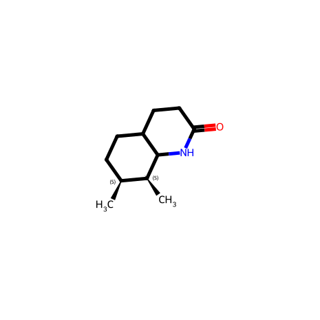 C[C@@H]1C2NC(=O)CCC2CC[C@@H]1C